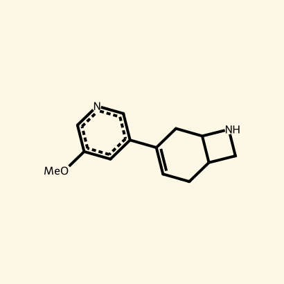 COc1cncc(C2=CCC3CNC3C2)c1